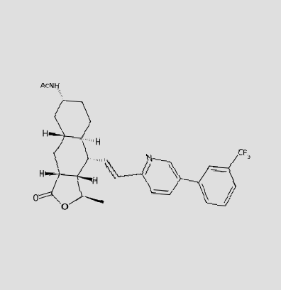 CC(=O)N[C@@H]1CC[C@@H]2[C@@H](C1)C[C@H]1C(=O)O[C@H](C)[C@H]1[C@H]2/C=C/c1ccc(-c2cccc(C(F)(F)F)c2)cn1